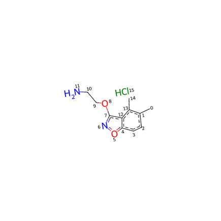 Cc1ccc2onc(OCCN)c2c1C.Cl